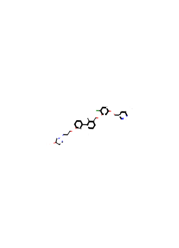 Cc1c(COc2cc(OCc3cncc(C#N)c3)c(C=O)cc2Cl)cccc1-c1cccc(OCCCN2CCC(O)C2)c1C(F)(F)F